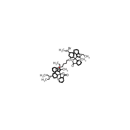 CCN(Br)c1ccc(C2(c3c(C)n(CC)c4ccccc34)OC(=O)c3cccnc32)c(OCCCCCCOc2cc(N(CC)CC)ccc2C2(c3c(C)n(CC)c4ccccc34)OC(=O)c3cccnc32)c1